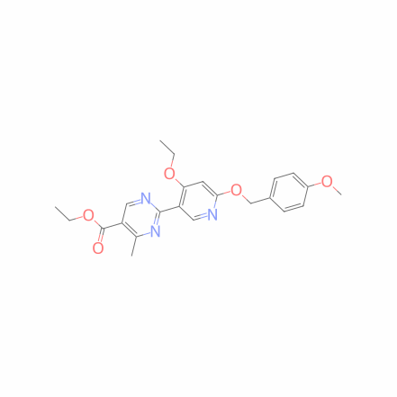 CCOC(=O)c1cnc(-c2cnc(OCc3ccc(OC)cc3)cc2OCC)nc1C